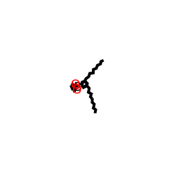 CCCCCCCCCCc1cc(CCCCCCCCCC)cc(B2OC(C)(C)C(C)(C)O2)c1